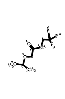 CC(C)OCC(=O)NCC(F)(F)F